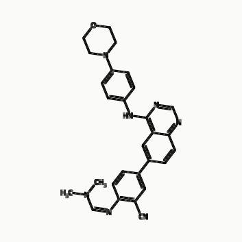 CN(C)/C=N\c1ccc(-c2ccc3ncnc(Nc4ccc(N5CCOCC5)cc4)c3c2)cc1C#N